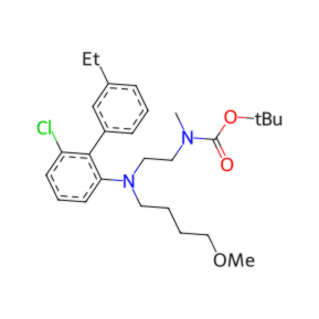 CCc1cccc(-c2c(Cl)cccc2N(CCCCOC)CCN(C)C(=O)OC(C)(C)C)c1